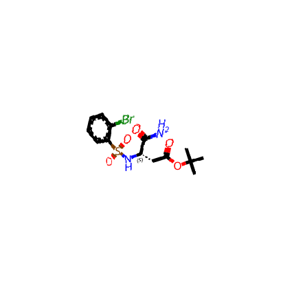 CC(C)(C)OC(=O)C[C@H](NS(=O)(=O)c1ccccc1Br)C(N)=O